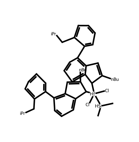 CCCCC1=Cc2c(-c3ccccc3CC(C)C)cccc2[CH]1[Hf]([Cl])([Cl])([CH]1C(CCCC)=Cc2c(-c3ccccc3CC(C)C)cccc21)[SiH](C)C